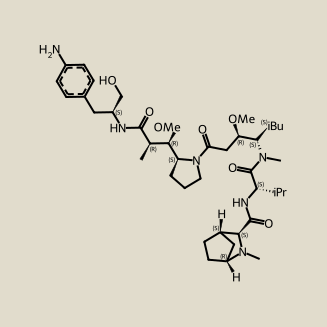 CC[C@H](C)[C@@H]([C@@H](CC(=O)N1CCC[C@H]1[C@H](OC)[C@@H](C)C(=O)N[C@H](CO)Cc1ccc(N)cc1)OC)N(C)C(=O)[C@@H](NC(=O)[C@@H]1[C@H]2CC[C@H](C2)N1C)C(C)C